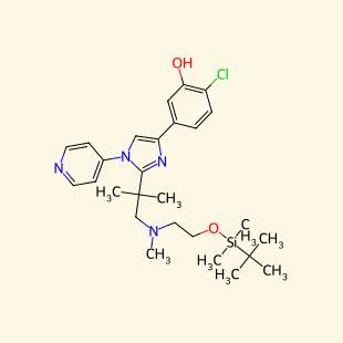 CN(CCO[Si](C)(C)C(C)(C)C)CC(C)(C)c1nc(-c2ccc(Cl)c(O)c2)cn1-c1ccncc1